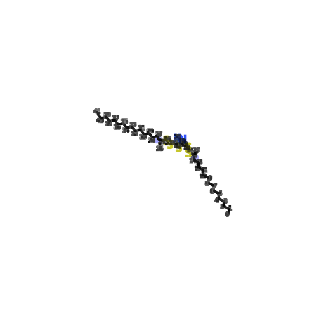 CCCCCCCCCCCCCC/C=C(\C)SSc1nnc(SS/C(C)=C/CCCCCCCCCCCCCC)s1